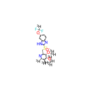 [2H]c1nc(C[S+]([O-])c2nc3ccc(OC([2H])(F)F)cc3[nH]2)c(OC([2H])([2H])[2H])c(OC([2H])([2H])[2H])c1[2H]